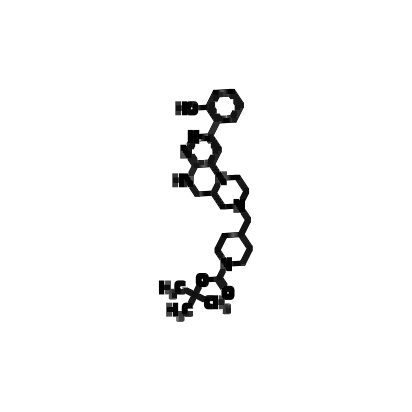 CC(C)(C)OC(=O)N1CCC(CN2CCN3c4cc(-c5ccccc5O)nnc4NCC3C2)CC1